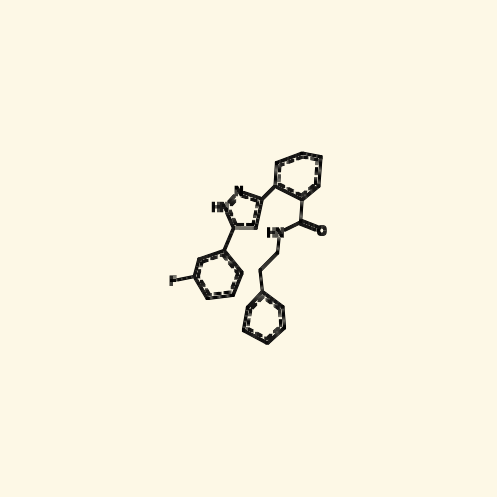 O=C(NCCc1ccccc1)c1ccccc1-c1cc(-c2cccc(F)c2)[nH]n1